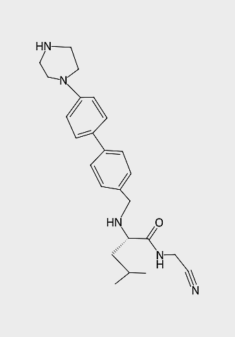 CC(C)C[C@H](NCc1ccc(-c2ccc(N3CCNCC3)cc2)cc1)C(=O)NCC#N